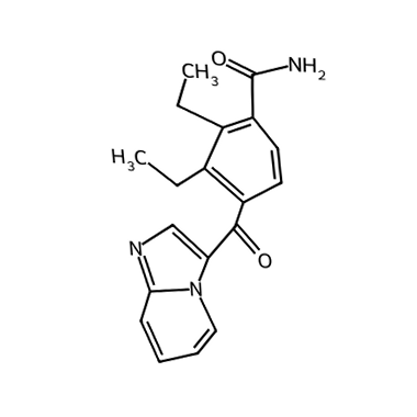 CCc1c(C(N)=O)ccc(C(=O)c2cnc3ccccn23)c1CC